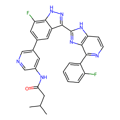 CC(C)CC(=O)Nc1cncc(-c2cc(F)c3[nH]nc(-c4nc5c(-c6ccccc6F)nccc5[nH]4)c3c2)c1